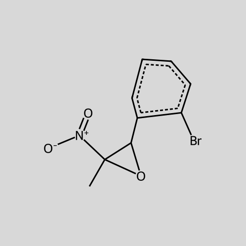 CC1([N+](=O)[O-])OC1c1ccccc1Br